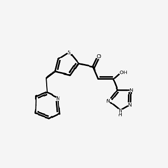 O=C(C=C(O)c1nn[nH]n1)c1cc(Cc2ccccn2)cs1